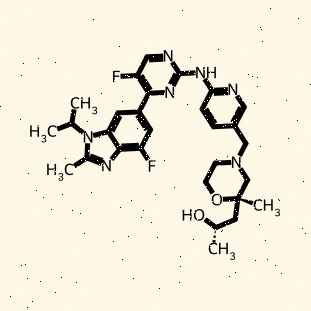 Cc1nc2c(F)cc(-c3nc(Nc4ccc(CN5CCO[C@@](C)(C[C@H](C)O)C5)cn4)ncc3F)cc2n1C(C)C